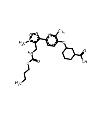 CCCCOC(=O)NCc1c(-c2ccc(OC3CCCC(C(=O)O)C3)c(C)n2)nnn1C